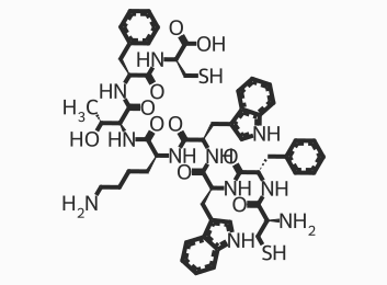 C[C@@H](O)[C@H](NC(=O)[C@H](CCCCN)NC(=O)[C@@H](Cc1c[nH]c2ccccc12)NC(=O)[C@H](Cc1c[nH]c2ccccc12)NC(=O)[C@H](Cc1ccccc1)NC(=O)[C@@H](N)CS)C(=O)N[C@@H](Cc1ccccc1)C(=O)N[C@H](CS)C(=O)O